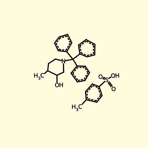 CC1CCN(C(c2ccccc2)(c2ccccc2)c2ccccc2)CC1O.Cc1ccc(S(=O)(=O)O)cc1